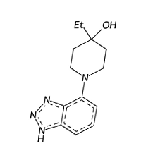 CCC1(O)CCN(c2cccc3[nH]nnc23)CC1